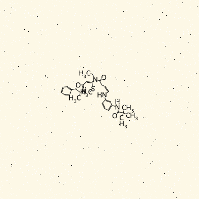 CCN(C(=O)C/C=C\Nc1cccc(NC(=O)C(C)(C)C)c1)/C(=C/C1=N[C@H](C)[C@@H](c2ccccc2)O1)SC